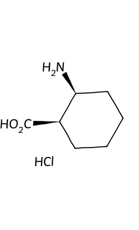 Cl.N[C@H]1CCCC[C@H]1C(=O)O